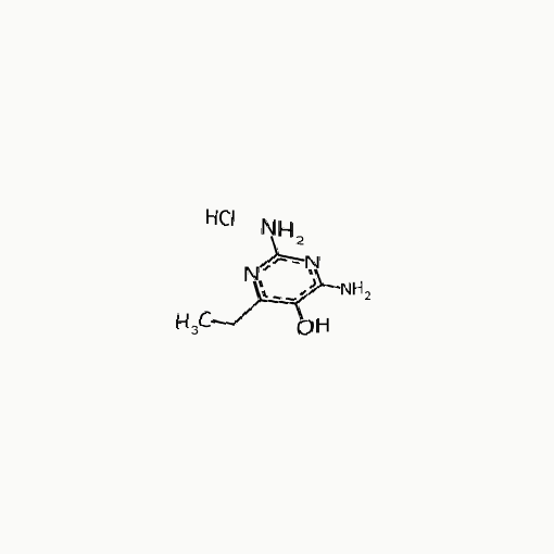 CCc1nc(N)nc(N)c1O.Cl